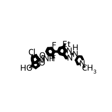 CCc1cc(-c2c(F)ccc(NS(=O)(=O)c3cc(Cl)cc4c3CC[C@H]4O)c2F)cc2cnc(NC3CCN(C)CC3)nc12